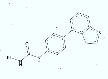 CCNC(=O)Nc1ccc(-c2cccc3sccc23)cc1